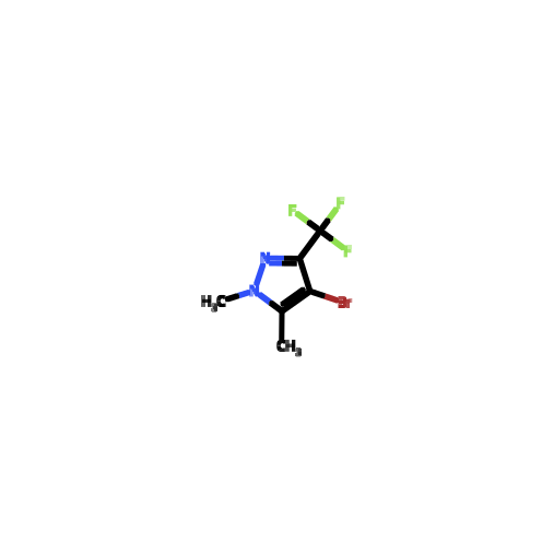 Cc1c(Br)c(C(F)(F)F)nn1C